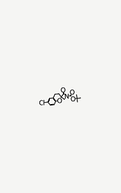 CC(C)(C)OC(=O)N1CC2(CCc3cc(Cl)ccc3O2)C1=O